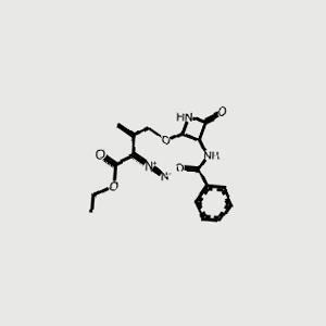 C=C(COC1NC(=O)C1NC(=O)c1ccccc1)C(=[N+]=[N-])C(=O)OCC